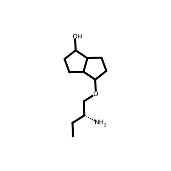 CC[C@@H](N)COC1CCC2C(O)CCC12